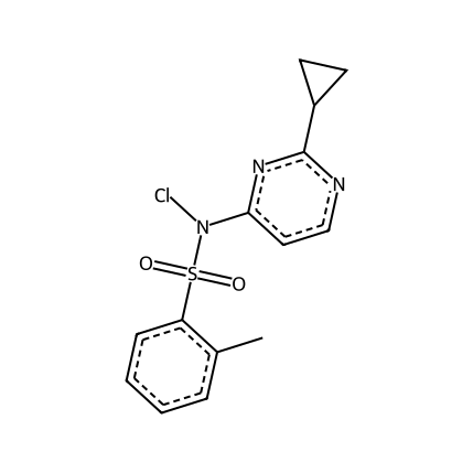 Cc1ccccc1S(=O)(=O)N(Cl)c1ccnc(C2CC2)n1